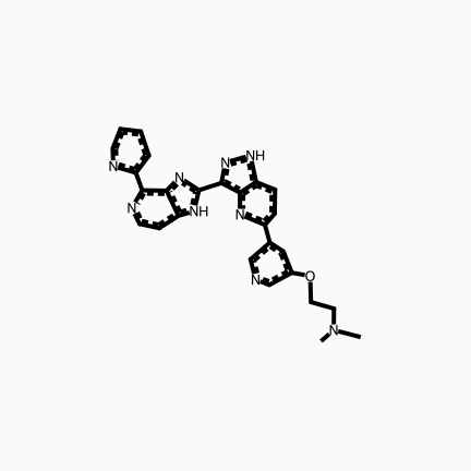 CN(C)CCOc1cncc(-c2ccc3[nH]nc(-c4nc5c(-c6ccccn6)nccc5[nH]4)c3n2)c1